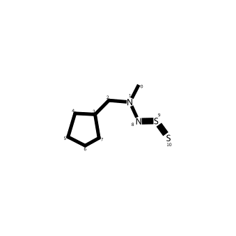 CN(CC1CCCC1)N=S=S